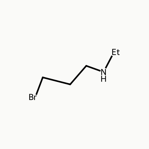 CCNCCCBr